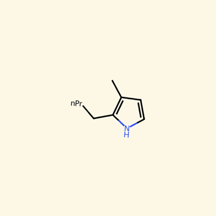 CCCCc1[nH]ccc1C